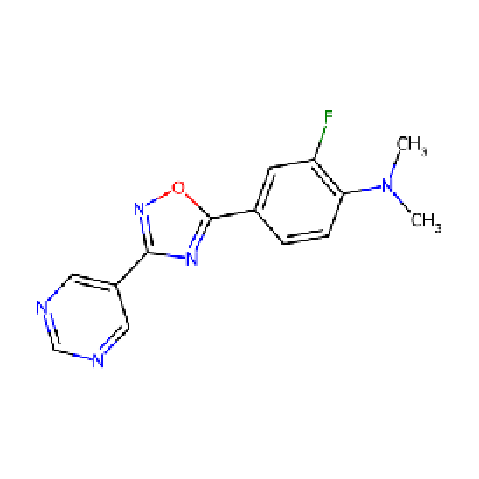 CN(C)c1ccc(-c2nc(-c3cncnc3)no2)cc1F